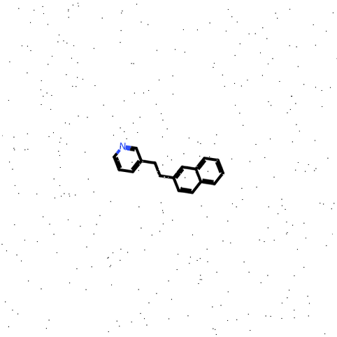 c1cncc(CCc2ccc3ccccc3c2)c1